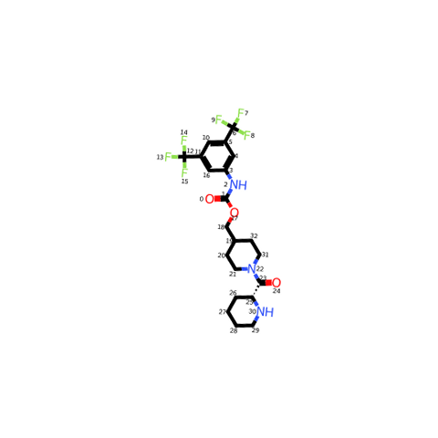 O=C(Nc1cc(C(F)(F)F)cc(C(F)(F)F)c1)OCC1CCN(C(=O)[C@H]2CCCCN2)CC1